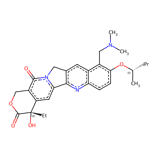 CC[C@@]1(O)C(=O)OCc2c1cc1n(c2=O)Cc2cc3c(CN(C)C)c(O[C@@H](C)C(C)C)ccc3nc2-1